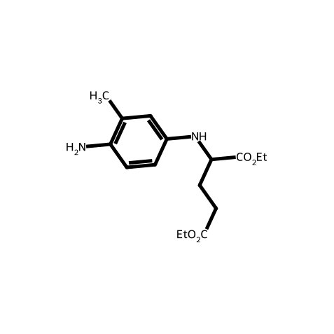 CCOC(=O)CCC(Nc1ccc(N)c(C)c1)C(=O)OCC